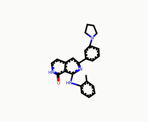 Cc1ccccc1Nc1nc(-c2cccc(N3CCCC3)c2)cc2cc[nH]c(=O)c12